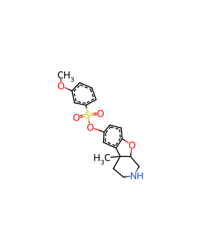 COc1cccc(S(=O)(=O)Oc2ccc3c(c2)C2(C)CCNCC2O3)c1